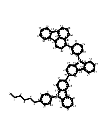 CCCCCCc1ccc(-n2c3ccccc3c3cc(-c4ccc5c(c4)c4ccccc4n5-c4cccc(-c5ccc6c7c(cccc57)-c5ccccc5-6)c4)ccc32)cc1